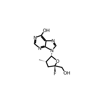 C[C@H]1C[C@@](F)(CO)O[C@H]1n1cnc2c(O)ncnc21